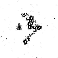 COCCOCCN1C(=C=CC2CCCC(/C=C/C3=[N+](CCOCCOCCC(=O)Oc4ccccc4)c4ccccc4C3(C)C)=C2Cl)C(C)(C)c2ccccc21.O=C([O-])C(F)(F)F